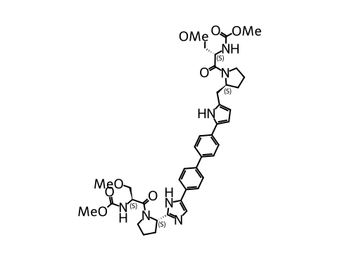 COC[C@H](NC(=O)OC)C(=O)N1CCC[C@H]1Cc1ccc(-c2ccc(-c3ccc(-c4cnc([C@@H]5CCCN5C(=O)[C@H](COC)NC(=O)OC)[nH]4)cc3)cc2)[nH]1